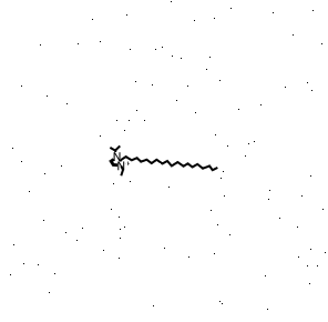 CCCCCCCCCCCCCCCCCCCc1n(C(C)C)cc[n+]1CC